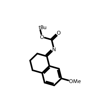 COc1ccc2c(c1)C(=NC(=O)OC(C)(C)C)CCC2